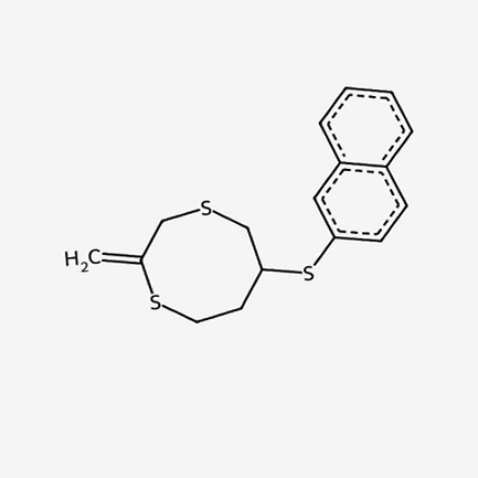 C=C1CSCC(Sc2ccc3ccccc3c2)CCS1